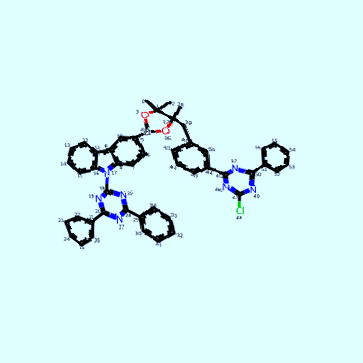 CC1(C)OB(c2ccc3c(c2)c2ccccc2n3-c2nc(-c3ccccc3)nc(-c3ccccc3)n2)OC1(C)Cc1cccc(-c2nc(Cl)nc(-c3ccccc3)n2)c1